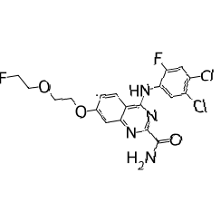 NC(=O)c1nc(Nc2cc(Cl)c(Cl)cc2F)c2c[c]c(OCCOCCF)cc2n1